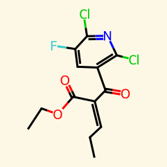 CCC=C(C(=O)OCC)C(=O)c1cc(F)c(Cl)nc1Cl